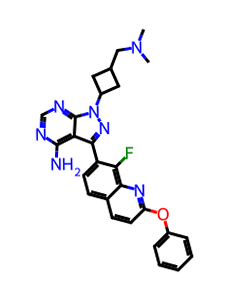 CN(C)CC1CC(n2nc(-c3ccc4ccc(Oc5ccccc5)nc4c3F)c3c(N)ncnc32)C1